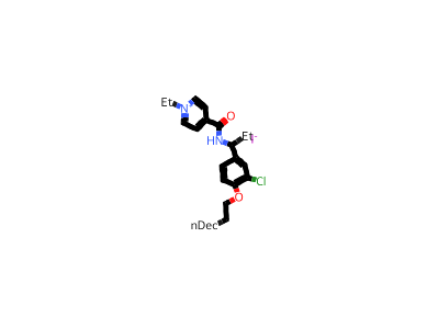 CCCCCCCCCCCCOc1ccc(C(CC)NC(=O)c2cc[n+](CC)cc2)cc1Cl.[I-]